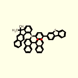 CC1(C)c2cc3ccccc3cc2-c2c(N(c3ccc(-c4ccc5c(c4)sc4ccccc45)cc3)c3ccc4ccccc4c3-c3cccc4ccccc34)cccc21